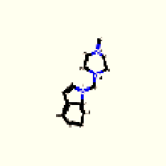 CN1CCN(Cn2ccc3ccccc32)CC1